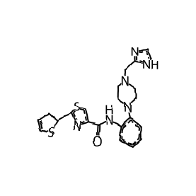 O=C(Nc1ccccc1N1CCN(Cc2ncc[nH]2)CC1)c1csc(C2CC=CS2)n1